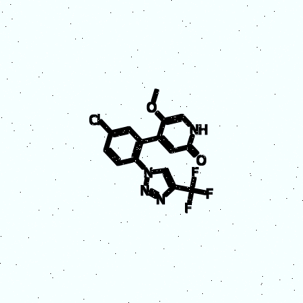 COc1c[nH]c(=O)cc1-c1cc(Cl)ccc1-n1cc(C(F)(F)F)nn1